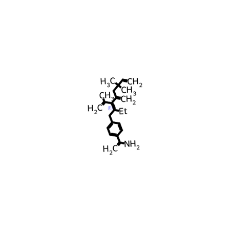 C=CC(C)(C)CC(=C)/C(C(=C)C)=C(\CC)Cc1ccc(C(=C)N)cc1